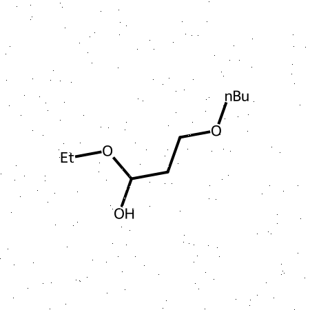 CCCCOCCC(O)OCC